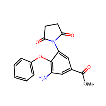 COC(=O)c1cc(N)c(Oc2ccccc2)c(N2C(=O)CCC2=O)c1